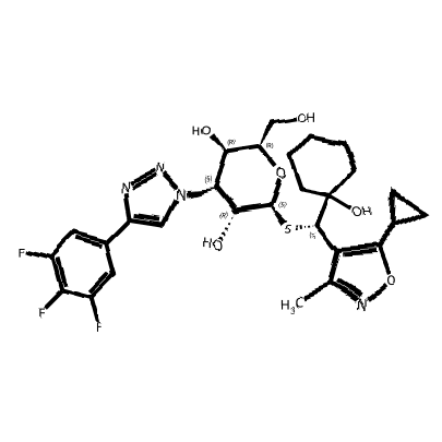 Cc1noc(C2CC2)c1[C@H](S[C@@H]1O[C@H](CO)[C@H](O)[C@H](n2cc(-c3cc(F)c(F)c(F)c3)nn2)[C@H]1O)C1(O)CCCCC1